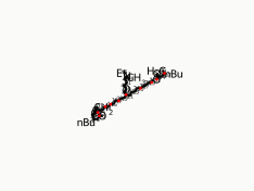 C=C=C=CC(CCCC)CC(=O)OCCCCCCCCCCC(CCCCCCCCCCOC(=O)CC(C)CCCC)COCCCN(C)CC